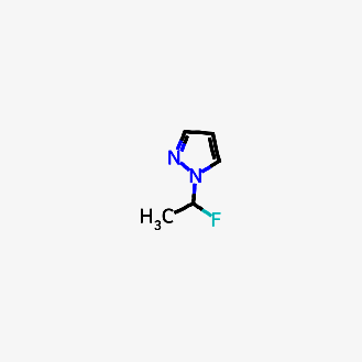 CC(F)n1cccn1